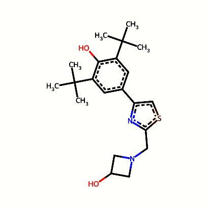 CC(C)(C)c1cc(-c2csc(CN3CC(O)C3)n2)cc(C(C)(C)C)c1O